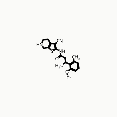 CCOc1cccc(C)c1C(C)CC(=O)Nc1sc2c(c1C#N)CCNC2